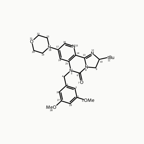 COc1cc(CN2C(=O)N3CC(C(C)(C)C)N=C3c3ncc(N4CCOCC4)cc32)cc(OC)c1